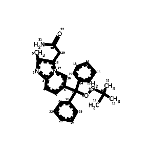 Cc1nc2ccc(C(O[SiH2]C(C)(C)C)(c3ccccc3)c3ccccc3)cn2c1CC(N)=O